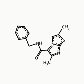 Cc1cn2c(C(=O)NCc3ccccc3)c(C)nc2s1